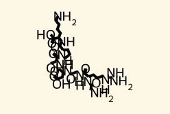 N=C(N)NCCCC(NC(=O)CN)C(=O)NCC(=O)NC(CC(=O)O)C(=O)NC(CO)C(=O)N1CCCC1C(=O)NC(CCCCN)C(=O)O